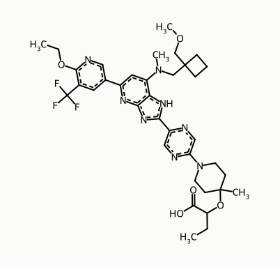 CCOc1ncc(-c2cc(N(C)CC3(COC)CCC3)c3[nH]c(-c4cnc(N5CCC(C)(OC(CC)C(=O)O)CC5)cn4)nc3n2)cc1C(F)(F)F